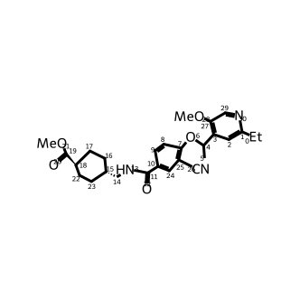 CCc1cc(C(C)Oc2ccc(C(=O)NC[C@H]3CC[C@H](C(=O)OC)CC3)cc2C#N)c(OC)cn1